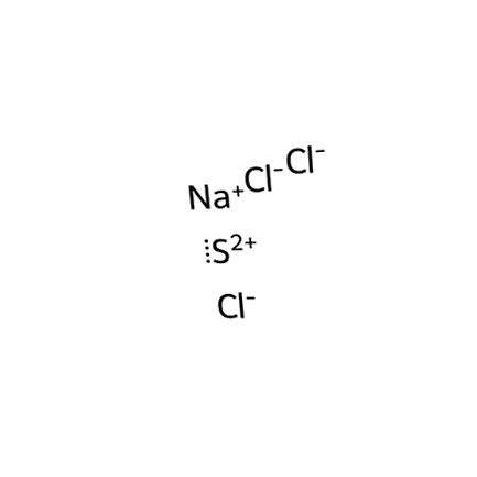 [Cl-].[Cl-].[Cl-].[Na+].[S+2]